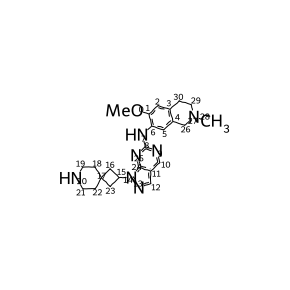 COc1cc2c(cc1Nc1ncc3cnn(C4CC5(CCNCC5)C4)c3n1)CN(C)CC2